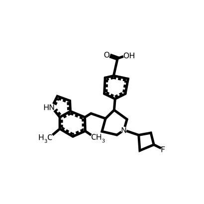 Cc1cc(C)c2[nH]ccc2c1CC1CCN(C2CC(F)C2)CC1c1ccc(C(=O)O)cc1